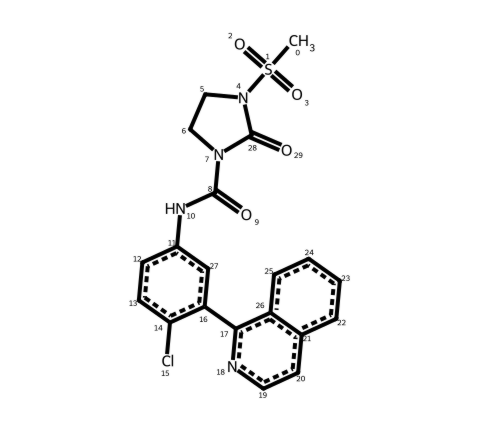 CS(=O)(=O)N1CCN(C(=O)Nc2ccc(Cl)c(-c3nccc4ccccc34)c2)C1=O